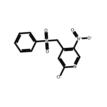 O=[N+]([O-])c1cnc(Cl)cc1CS(=O)(=O)c1ccccc1